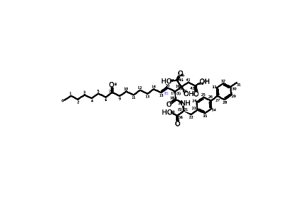 CCCCCCCC(=O)CCCCCC/C=C/[C@H](C(=O)N[C@@H](Cc1ccc(-c2ccc(C)cc2)cc1)C(=O)O)[C@@](O)(CC(=O)O)C(=O)O